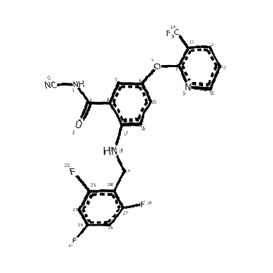 N#CNC(=O)c1cc(Oc2ncccc2C(F)(F)F)ccc1NCc1c(F)cc(F)cc1F